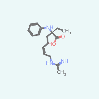 CC[C@@](CC/C=C\CNC(C)=N)(Nc1ccccc1)C(=O)O